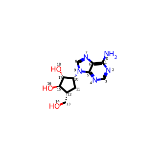 Nc1ncnc2c1ncn2[C@@H]1C[C@H](CO)[C@@H](O)[C@@H]1O